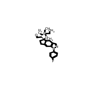 CC[Si](CC)(CC)O[C@@]1(CC=O)CCC2=Cc3c(cnn3-c3ccc(F)cc3)CC21C